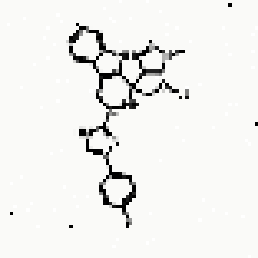 CCOCC1(c2cnn(C)c2)N[C@@H](c2nc(-c3ccc(F)cc3)c[nH]2)Cc2c1[nH]c1ccccc21